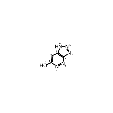 Oc1cc2[nH]nnc2nn1